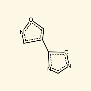 c1noc(-c2cnoc2)n1